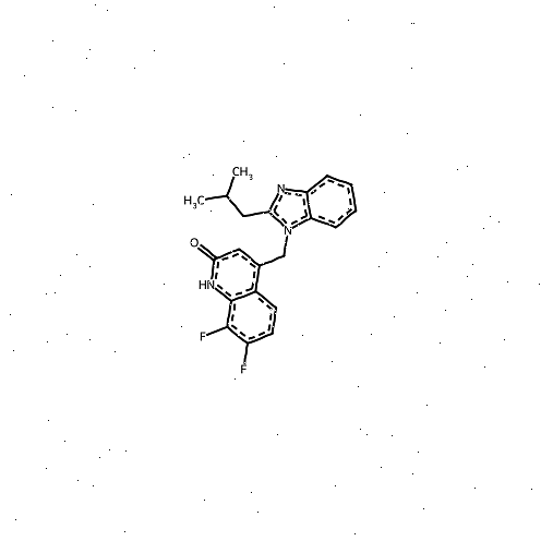 CC(C)Cc1nc2ccccc2n1Cc1cc(=O)[nH]c2c(F)c(F)ccc12